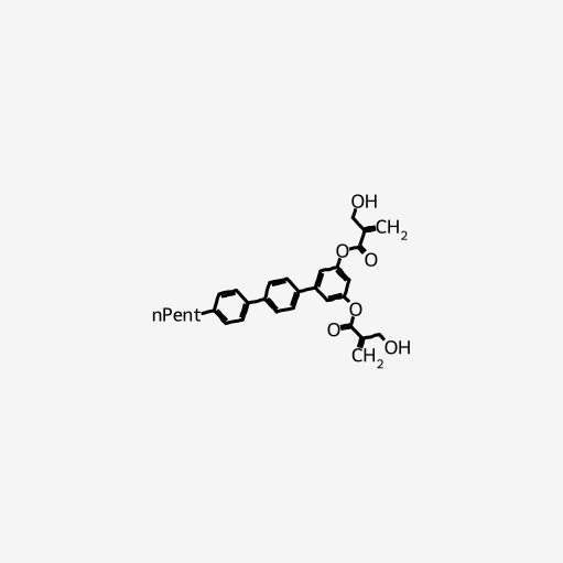 C=C(CO)C(=O)Oc1cc(OC(=O)C(=C)CO)cc(-c2ccc(-c3ccc(CCCCC)cc3)cc2)c1